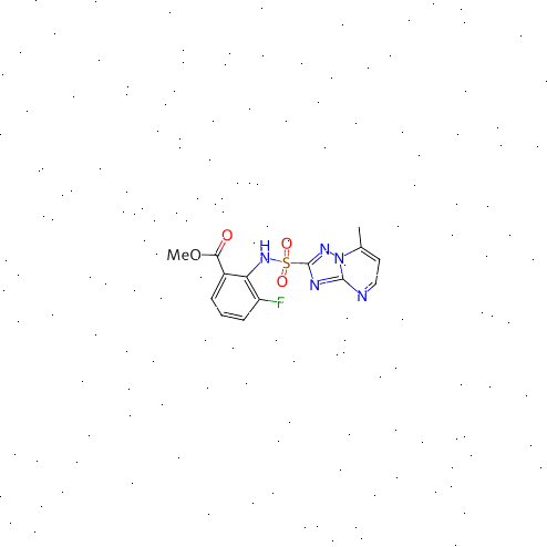 COC(=O)c1cccc(F)c1NS(=O)(=O)c1nc2nccc(C)n2n1